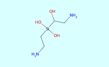 NCC[Si](O)(O)C(O)CN